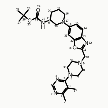 Cc1ncnc(N2CCN(Cc3nc4ccc(N5CCC[C@H](NC(=O)OC(C)(C)C)C5)cc4o3)CC2)c1C